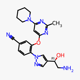 Cc1nc(Oc2cc(C#N)ccc2-n2cc([C@@H](O)CN)cn2)cc(N2CCCCC2)n1